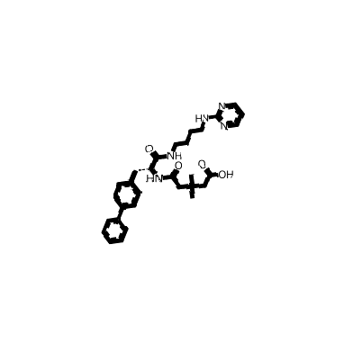 CC(C)(CC(=O)O)CC(=O)N[C@H](Cc1ccc(-c2ccccc2)cc1)C(=O)NCCCCNc1ncccn1